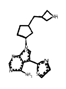 Nc1ncnc2c1c(-c1nccs1)cn2[C@H]1CCC(CC2CNC2)C1